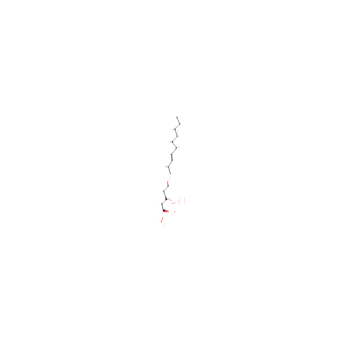 CCCCCCCCCCOCC[C@H](O)CC(=O)OC